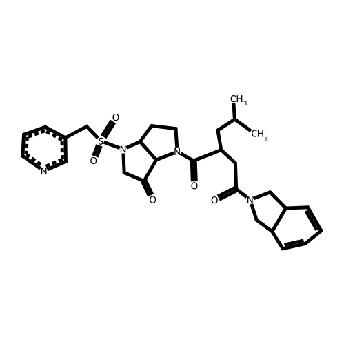 CC(C)CC(CC(=O)N1CC2C=CC=CC2C1)C(=O)N1CCC2C1C(=O)CN2S(=O)(=O)Cc1cccnc1